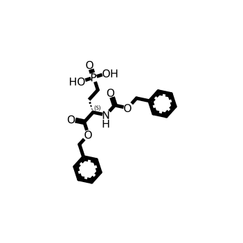 O=C(N[C@@H](CCP(=O)(O)O)C(=O)OCc1ccccc1)OCc1ccccc1